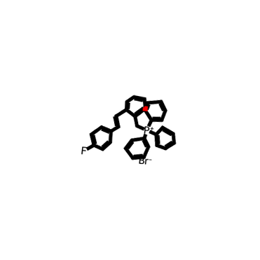 Fc1ccc(C=Cc2ccccc2C[P+](c2ccccc2)(c2ccccc2)c2ccccc2)cc1.[Br-]